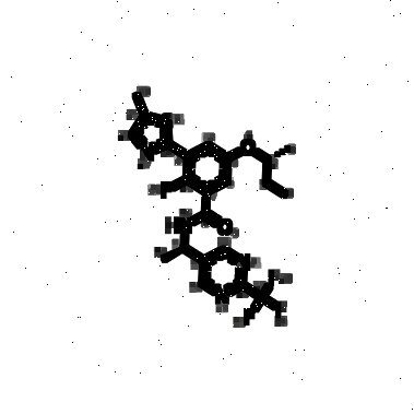 CC[C@@H](C)Oc1cc(C(=O)N[C@H](C)c2cnc(C(F)(F)F)nc2)c(F)c(-c2ncc(C)s2)c1